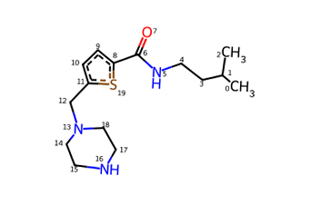 CC(C)CCNC(=O)c1ccc(CN2CCNCC2)s1